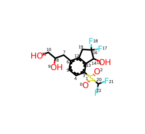 O=S(=O)(c1ccc(CC(O)CO)c2c1C(O)C(F)(F)C2)C(F)F